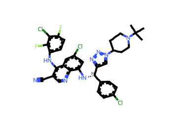 CC(C)(C)N1CCC(n2cc([C@@H](Nc3cc(Cl)cc4c(Nc5ccc(F)c(Cl)c5F)c(C#N)cnc34)c3ccc(Cl)cc3)nn2)CC1